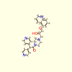 O=C(C(c1ccncc1)c1ccncc1)N1CCN(CC(O)COc2cccc3ncccc23)CC1